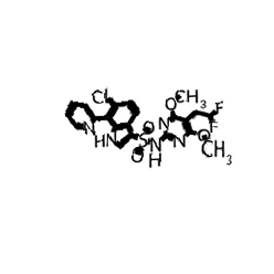 COc1nc(NS(=O)(=O)c2c[nH]c3c(-c4ccccn4)c(Cl)ccc23)nc(OC)c1CC(F)F